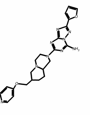 Nc1nc(N2CCN3CC(COc4ccncc4)CCC3C2)nc2nc(-c3ccco3)nn12